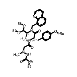 CCNC(=O)NN(C)CC(=O)N[C@@H](Cc1ccc(OC(C)(C)C)cc1)C(=O)N(Cc1cccc2cccnc12)[C@@H](C)C(OCC)OCC